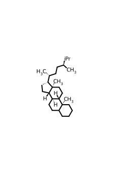 CC(C)[C@@H](C)CC[C@@H](C)[C@H]1CC[C@H]2[C@@H]3CCC4CCCC[C@]4(C)[C@H]3CC[C@]12C